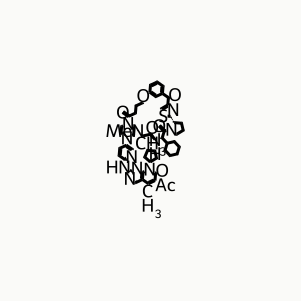 CN[C@@H](C)C(=O)N[C@H](C(=O)N1CCC[C@H]1c1nc(C(=O)c2cccc(OCCCC(=O)N3CCN(c4ccc(Nc5ncc6c(C)c(C(C)=O)c(=O)n(C7CCCC7)c6n5)nc4)CC3)c2)cs1)C1CCCCC1